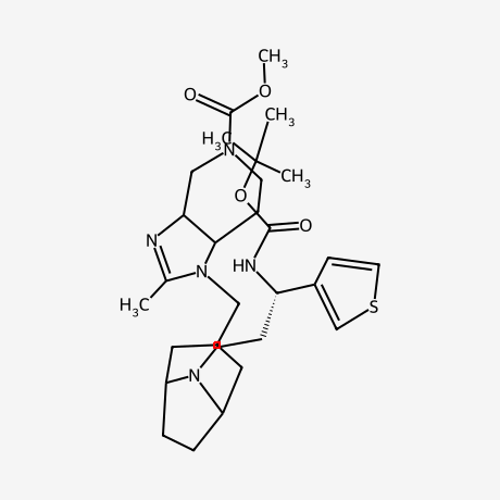 COC(=O)N1CCC2C(C1)N=C(C)N2CC1CC2CCC(C1)N2CC[C@H](NC(=O)OC(C)(C)C)c1ccsc1